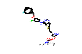 CN(C)C(=O)O[C@H]1CN[C@@H](C#Cc2cc3ncnc(Nc4ccc(OCc5cccc(F)c5)c(Cl)c4)c3s2)C1